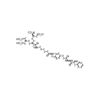 N[C@H](Cc1ccccc1)C(=O)NNC(=O)CCc1ccc(CNC(=O)CCCCCNC(=O)CN(CCN(CC(=O)O)CC(=O)O)CCN(CC(=O)O)CC(=O)O)cc1